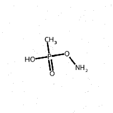 CP(=O)(O)ON